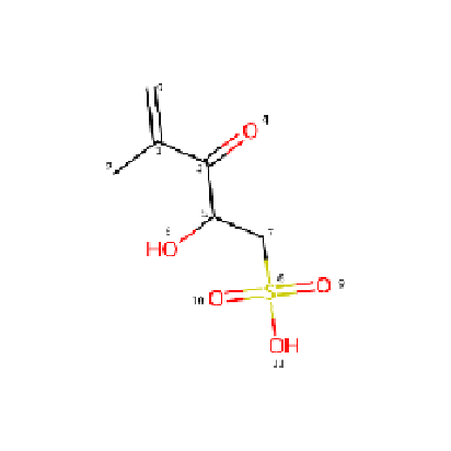 C=C(C)C(=O)C(O)CS(=O)(=O)O